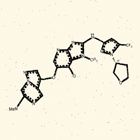 CNc1cn2ncc(Oc3cnc4nc(Nc5cc(C(F)(F)F)n([C@@H]6CCOC6)n5)n(C)c4c3Cl)c2cn1